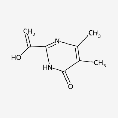 C=C(O)c1nc(C)c(C)c(=O)[nH]1